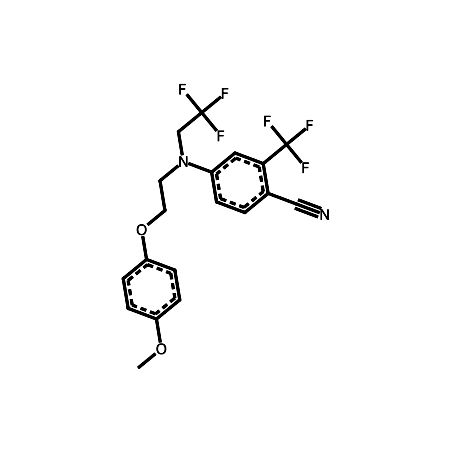 COc1ccc(OCCN(CC(F)(F)F)c2ccc(C#N)c(C(F)(F)F)c2)cc1